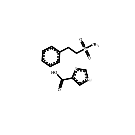 NS(=O)(=O)CCc1ccccc1.O=C(O)c1c[nH]cn1